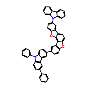 c1ccc(-c2ccc3c(c2)c2cc(-c4ccc5oc6ccc7c8cc(-n9c%10ccccc%10c%10ccccc%109)ccc8oc7c6c5c4)ccc2n3-c2ccccc2)cc1